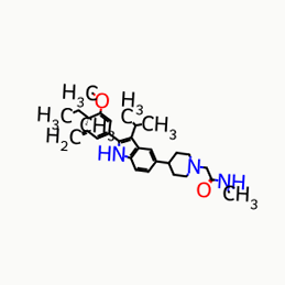 C=C/C=C(\C=C(\OC)[C@H](C)CC)c1[nH]c2ccc(C3CCN(CC(=O)NC)CC3)cc2c1C(C)C